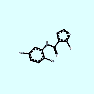 O=C(Nc1cc(Cl)ccc1O)c1ccsc1Br